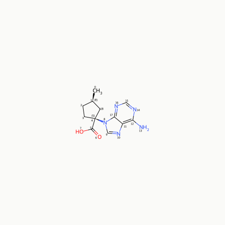 C[C@@H]1CC[C@](C(=O)O)(n2cnc3c(N)ncnc32)C1